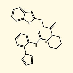 O=C(Nc1ccccc1-n1cccc1)[C@@H]1CCCCN1C(=O)CSc1nc2ccccc2o1